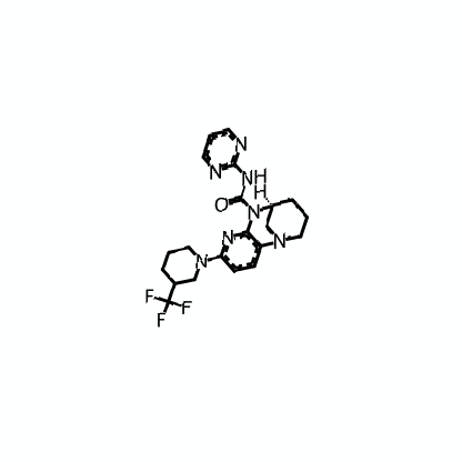 O=C(Nc1ncccn1)N1c2nc(N3CCCC(C(F)(F)F)C3)ccc2N2CCC[C@H]1C2